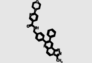 Cc1nnc2c3cc(-c4ccccc4)c(-c4ccc(CNC(=O)c5ccc(N6CCOCC6)nc5)cc4)nc3ccn12